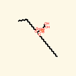 CCCCC/C=C\CCCCCCCC(=O)O[C@H](COCCCCCCCCCCCCCCCCCC)COP(=O)(O)OC[C@@H](O)CO